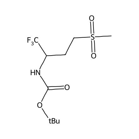 CC(C)(C)OC(=O)NC(CCS(C)(=O)=O)C(F)(F)F